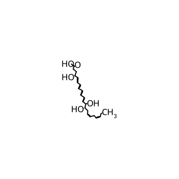 CC/C=C\C/C=C\C[C@H](O)C(O)C=CC=CC=CC=C[C@@H](O)CCC(=O)O